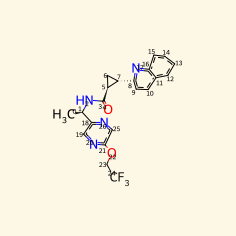 C[C@@H](NC(=O)[C@H]1C[C@@H]1c1ccc2ccccc2n1)c1cnc(OCC(F)(F)F)cn1